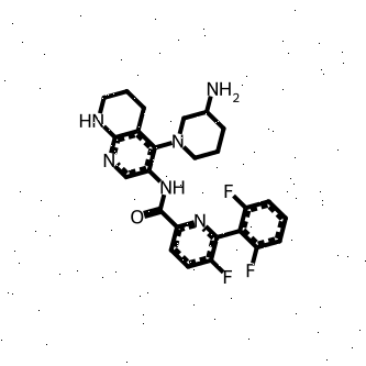 NC1CCCN(c2c(NC(=O)c3ccc(F)c(-c4c(F)cccc4F)n3)cnc3c2CCCN3)C1